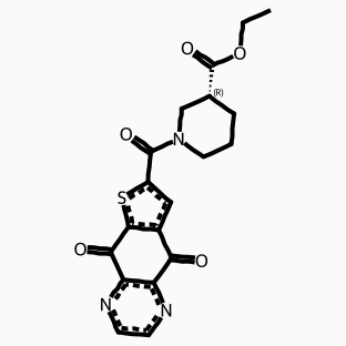 CCOC(=O)[C@@H]1CCCN(C(=O)c2cc3c(s2)C(=O)c2nccnc2C3=O)C1